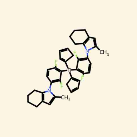 Cc1cc2c(n1-c1ccc(F)[c]([Ti]([C]3=CC=CC3)([C]3=CC=CC3)[c]3c(F)ccc(-n4c(C)cc5c4CCCC5)c3F)c1F)CCCC2